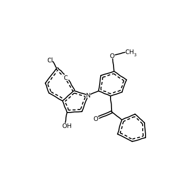 COc1ccc(C(=O)c2ccccc2)c(-n2cc(O)c3ccc(Cl)cc32)c1